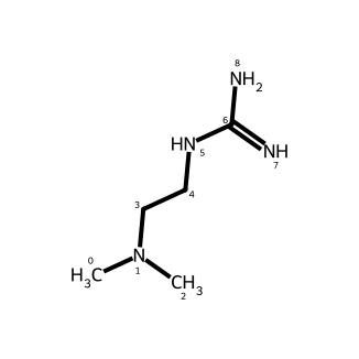 CN(C)CCNC(=N)N